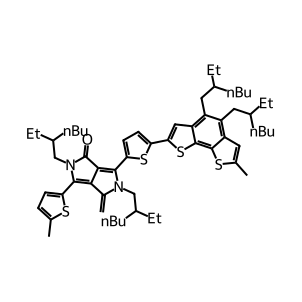 C=c1c2c(c(-c3ccc(-c4cc5c(CC(CC)CCCC)c(CC(CC)CCCC)c6cc(C)sc6c5s4)s3)n1CC(CC)CCCC)C(=O)N(CC(CC)CCCC)C=2c1ccc(C)s1